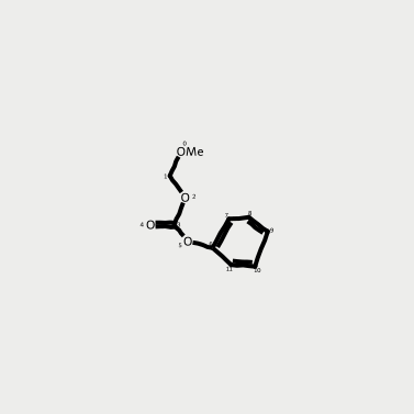 COCOC(=O)Oc1ccccc1